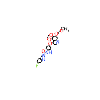 COCCOc1cc2nccc(Oc3ccc(NC(=O)NCc4ccc(F)cc4)cc3)c2c2c1OCCO2